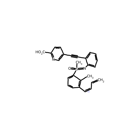 C=C/C=C\c1cccc(S(C)(=O)=Nc2ccccc2C#Cc2ccc(C(=O)O)nc2)c1C